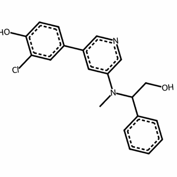 CN(c1cncc(-c2ccc(O)c(Cl)c2)c1)C(CO)c1ccccc1